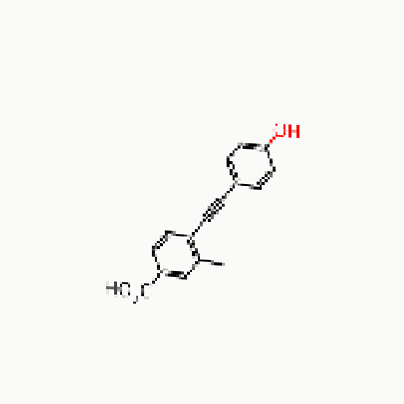 Cc1cc(C(=O)O)ccc1C#Cc1ccc(O)cc1